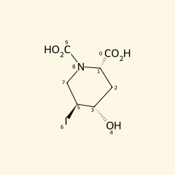 O=C(O)[C@@H]1C[C@H](O)[C@@H](I)CN1C(=O)O